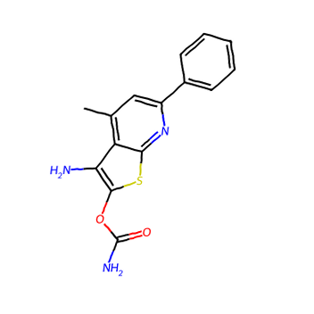 Cc1cc(-c2ccccc2)nc2sc(OC(N)=O)c(N)c12